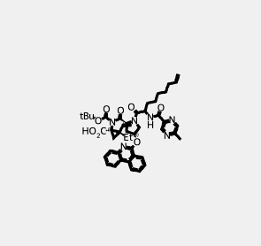 C=CCCCCCC(NC(=O)c1cnc(C)cn1)C(=O)N1C[C@H](Oc2nc3ccccc3c3ccccc23)C[C@H]1C(=O)N(C(=O)OC(C)(C)C)[C@]1(C(=O)O)C[C@]1(C=C)CC